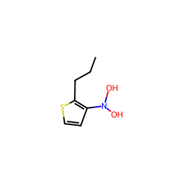 CCCc1sccc1N(O)O